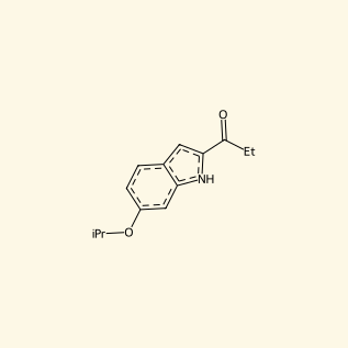 CCC(=O)c1cc2ccc(OC(C)C)cc2[nH]1